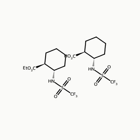 CCOC(=O)[C@H]1CCCC[C@@H]1NS(=O)(=O)C(F)(F)F.O=C(O)[C@H]1CCCC[C@@H]1NS(=O)(=O)C(F)(F)F